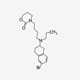 CCCN(CCCCN1CCCOC1=O)C1CCc2cc(Br)ccc2C1